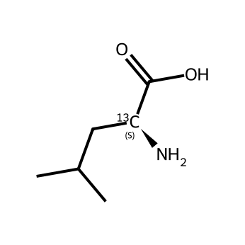 CC(C)C[13C@H](N)C(=O)O